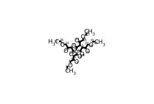 CCOCC(=O)C[C](=O)[Zr]([C](=O)CC(=O)COCC)([C](=O)CC(=O)COCC)[C](=O)CC(=O)COCC